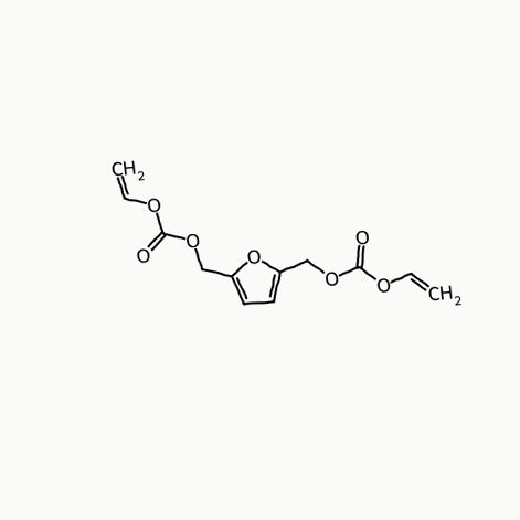 C=COC(=O)OCc1ccc(COC(=O)OC=C)o1